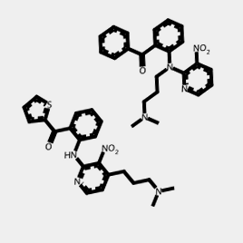 CN(C)CCCN(c1ccccc1C(=O)c1ccccc1)c1ncccc1[N+](=O)[O-].CN(C)CCCc1ccnc(Nc2ccccc2C(=O)c2cccs2)c1[N+](=O)[O-]